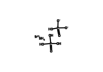 O=P(O)(O)O.O=P([O-])([O-])O.[SiH4].[Sr+2]